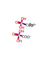 O=C([O-])P(=O)(O)O.O=C([O-])P(=O)(O)O.[Zn+2]